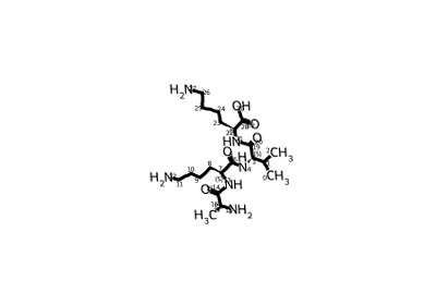 CC(C)[C@H](NC(=O)[C@H](CCCCN)NC(=O)[C@H](C)N)C(=O)N[C@@H](CCCCN)C(=O)O